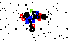 COC(=O)C1C2CCC(CC2)C1Nc1cc(-c2cc3ccccc3o2)nc(-c2cn(S(=O)(=O)c3ccc(C)cc3)c3ncc(F)cc23)n1